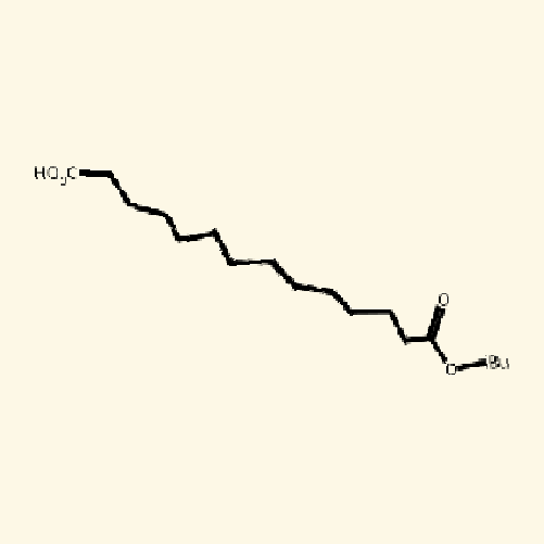 CCC(C)OC(=O)CCCCCCCCCCCCC(=O)O